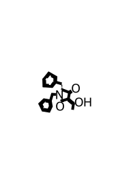 C/C(O)=C1/C(=O)[C@@H](Cc2ccccc2)N(Cc2ccccc2)C1=O